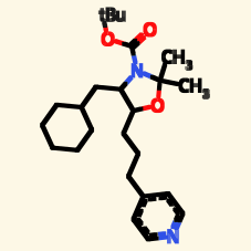 CC(C)(C)OC(=O)N1C(CC2CCCCC2)C(CCCc2ccncc2)OC1(C)C